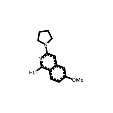 COc1ccc2c(O)nc(N3CCCC3)cc2c1